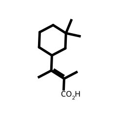 CC(C(=O)O)=C(C)C1CCCC(C)(C)C1